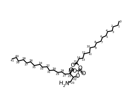 CCCCCCCCCCCCCCCC(=O)OP(=O)(O)OC(CN)C(=O)CCCCCCCCCCCCCCC